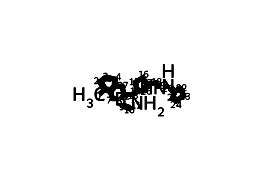 Cc1cccc2c1CB(/C=C\N)C(CC1CCC(CNNC3CCCC3)C1)C2